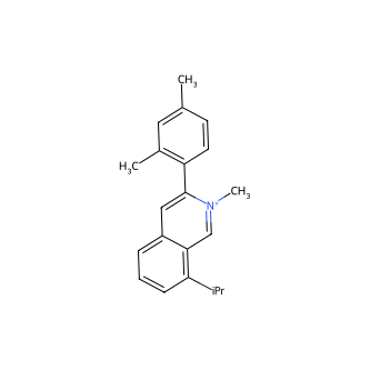 Cc1ccc(-c2cc3cccc(C(C)C)c3c[n+]2C)c(C)c1